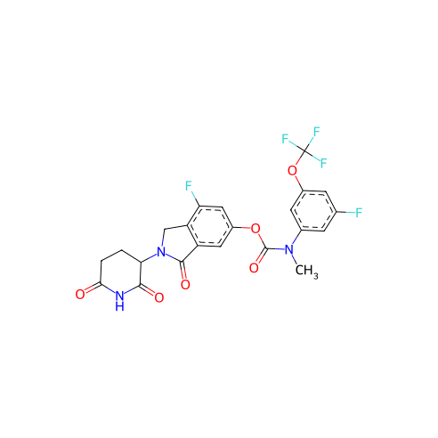 CN(C(=O)Oc1cc(F)c2c(c1)C(=O)N(C1CCC(=O)NC1=O)C2)c1cc(F)cc(OC(F)(F)F)c1